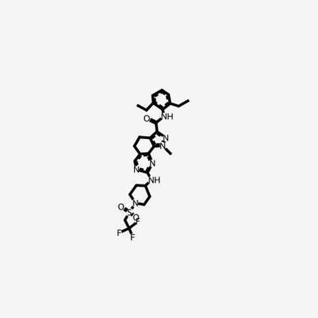 CCc1cccc(CC)c1NC(=O)c1nn(C)c2c1CCc1cnc(NC3CCN(S(=O)(=O)CC(F)(F)F)CC3)nc1-2